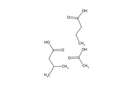 CC(=O)O.CC(C)CC(=O)O.CCCC(=O)O